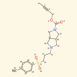 CC#CCOC(=O)N1CC2CN(CCCS(=O)(=O)c3ccc(C#N)cc3)CC2C1